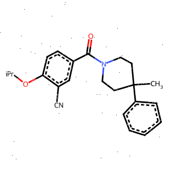 CC(C)Oc1ccc(C(=O)N2CCC(C)(c3ccccc3)CC2)cc1C#N